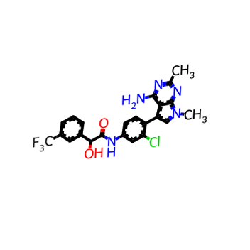 Cc1nc(N)c2c(-c3ccc(NC(=O)C(O)c4cccc(C(F)(F)F)c4)cc3Cl)cn(C)c2n1